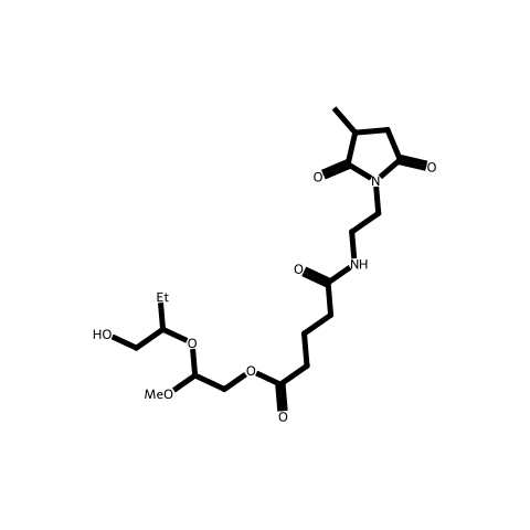 CCC(CO)OC(COC(=O)CCCC(=O)NCCN1C(=O)CC(C)C1=O)OC